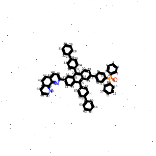 O=P(c1ccccc1)(c1ccccc1)c1ccc(-c2ccc3c(-c4ccc(-c5ccccc5)cc4)c4cc(-c5ccc6ccc7cccnc7c6n5)ccc4c(-c4ccc(-c5ccccc5)cc4)c3c2)cc1